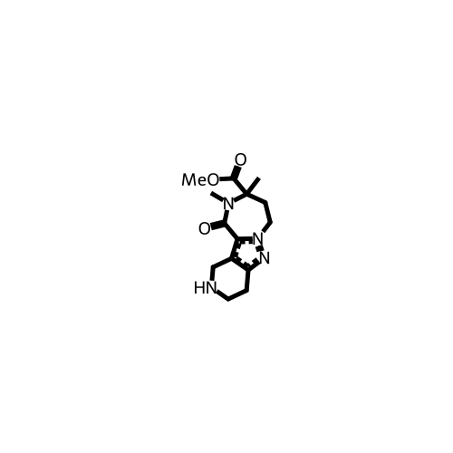 COC(=O)C1(C)CCn2nc3c(c2C(=O)N1C)CNCC3